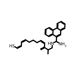 C=C(/C=C\CCC/C=C\C=C/S)C(C)CNC(N)c1cc2ccccc2c2ccccc12